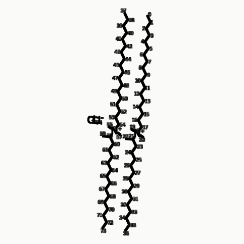 CCCCCCCCCCCCCCCCCC[N+](C)(C)C(C)CCCCCCCCCCCCCC.CCCCCCCCCCCCCCCCCC[N+](C)(C)C(C)CCCCCCCCCCCCCC.[Cl-].[Cl-]